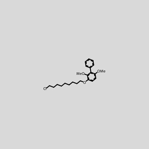 COc1ccc(OCCCCCCCCCCl)c(OC)c1-c1ccccc1